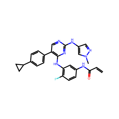 C=CC(=O)Nc1ccc(F)c(Nc2nc(Nc3cnn(C)c3)ncc2-c2ccc(C3CC3)cc2)c1